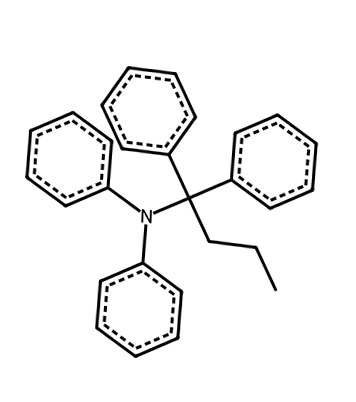 CCCC(c1ccccc1)(c1ccccc1)N(c1ccccc1)c1ccccc1